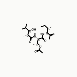 CC[C@H](C)[C@@H](NC(=O)[C@@H](NC(=O)[C@H](C)[C@H](O)C(C)C)[C@@H](C)OC(C)=O)C(C)=O